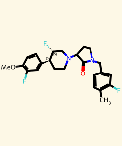 COc1ccc([C@@H]2CCN(C3CCN(Cc4ccc(C)c(F)c4)C3=O)C[C@H]2F)cc1F